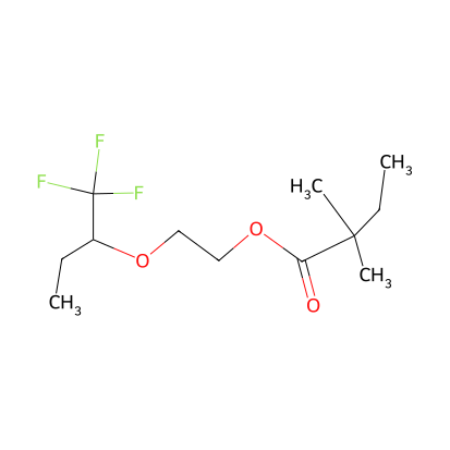 CCC(OCCOC(=O)C(C)(C)CC)C(F)(F)F